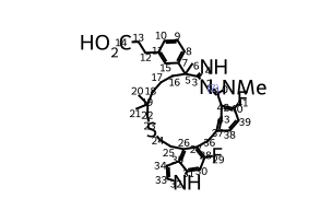 CN/C1=N\C(=N)C(C)(c2cccc(CCC(=O)O)c2)CCCC(C)(C)CSCCc2c(c(F)cc3[nH]ccc23)Cc2ccc(F)c1c2